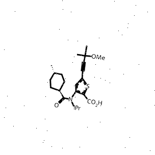 COC(C)(C)C#Cc1cc(N(C(=O)[C@H]2CC[C@H](C)CC2)C(C)C)c(C(=O)O)s1